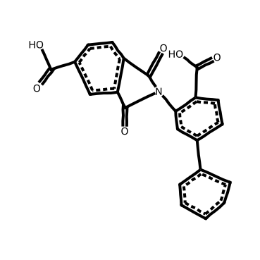 O=C(O)c1ccc2c(c1)C(=O)N(c1cc(-c3ccccc3)ccc1C(=O)O)C2=O